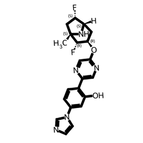 C[C@]12C[C@H](F)[C@H](C[C@@H](Oc3cnc(-c4ccc(-n5ccnc5)cc4O)cn3)[C@@H]1F)N2